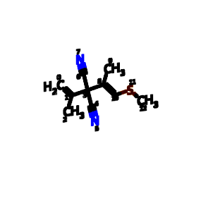 C=C(C)C(C#N)(C#N)C(C)=CSC